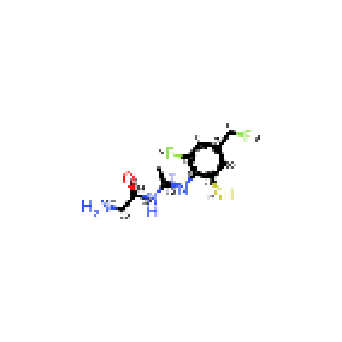 C/C(=N\c1c(F)cc(CF)cc1S)NC(=O)CN